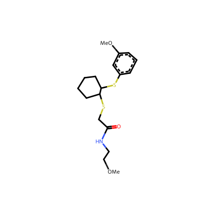 COCCNC(=O)CSC1CCCCC1Sc1cccc(OC)c1